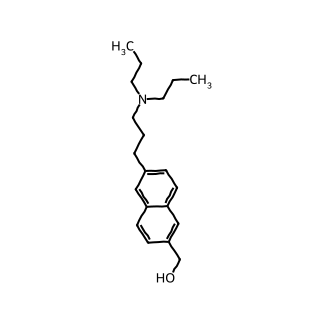 CCCN(CCC)CCCc1ccc2cc(CO)ccc2c1